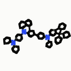 c1ccc(N(c2ccccc2)c2ccc(N3c4ccc(-c5ccc(N(c6ccccc6)c6ccc7c(c6)C(c6ccccc6)(c6ccccc6)c6ccccc6-7)cc5)cc4-c4cccc5cccc3c45)cc2)cc1